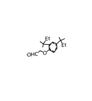 CCC(C)(C)c1ccc(OC[C]=O)c(C(C)(C)CC)c1